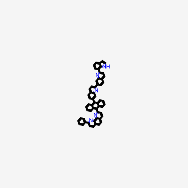 c1ccc(-c2ccc3ccc4ccc(-c5c6ccccc6c(-c6ccc7ccc(-c8ccc9ccc(-c%10cccc%11cc[nH]c%10%11)nc9c8)nc7c6)c6ccccc56)nc4c3n2)cc1